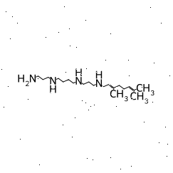 CC(C)=CCC/C(C)=C/CNCCCNCCCCNCCCN